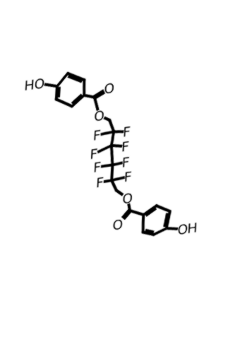 O=C(OCC(F)(F)C(F)(F)C(F)(F)C(F)(F)COC(=O)c1ccc(O)cc1)c1ccc(O)cc1